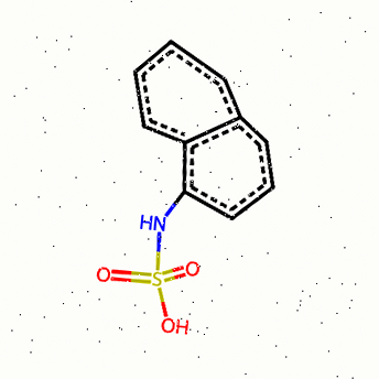 O=S(=O)(O)Nc1cccc2ccccc12